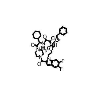 CN[C@@H](C)C(=O)NC(C(=O)N1CCN(C(=O)c2cc3cc(F)c(F)cc3n2CCOCCOCc2ccccc2)CC1)C1CCCCC1